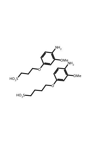 COc1cc(OCCCCS(=O)(=O)O)ccc1N.COc1cc(OCCCS(=O)(=O)O)ccc1N